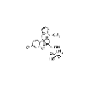 CCc1nccn1CC1(c2ccc(Cl)cc2Cl)OCC(CO)O1.CS(=O)(=O)O